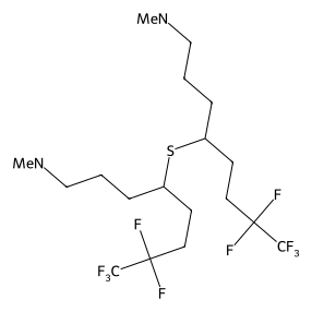 CNCCCC(CCC(F)(F)C(F)(F)F)SC(CCCNC)CCC(F)(F)C(F)(F)F